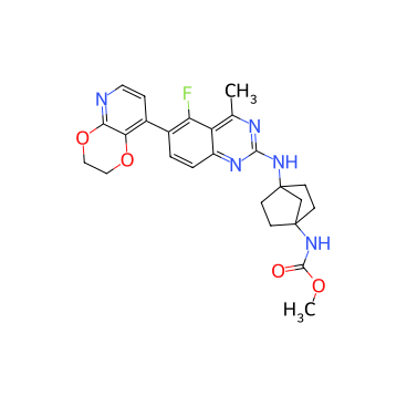 COC(=O)NC12CCC(Nc3nc(C)c4c(F)c(-c5ccnc6c5OCCO6)ccc4n3)(CC1)C2